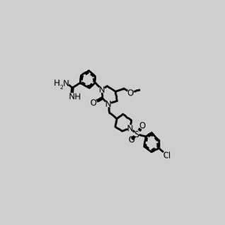 COCC1CN(CC2CCN(S(=O)(=O)c3ccc(Cl)cc3)CC2)C(=O)N(c2cccc(C(=N)N)c2)C1